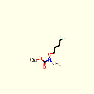 CN(OCCCC[18F])C(=O)OC(C)(C)C